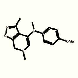 COc1ccc(N(C)C2=CN(C)Cc3onc(C)c32)cc1